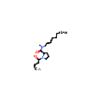 CCCCCCCCCCCCC(=O)N1CCCC1C(=O)N(C)CCCCCCNC